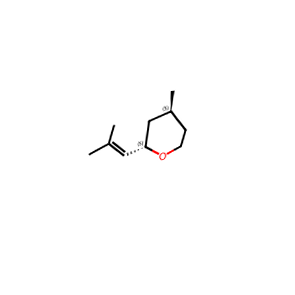 CC(C)=C[C@@H]1C[C@@H](C)CCO1